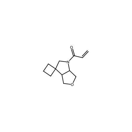 C=CC(=O)N1CC2(CCC2)C2COCC21